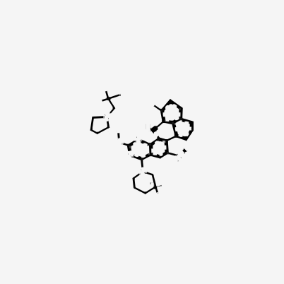 C#Cc1c(F)ccc2cccc(-c3c([N+](=O)[O-])cc4c(N5CCC[C@@](C)(O)C5)nc(OC[C@@H]5CCCN5CC(F)(F)F)nc4c3F)c12